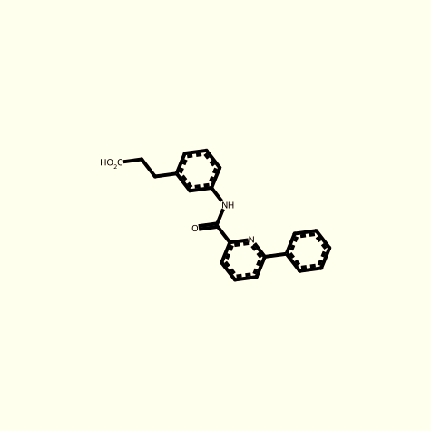 O=C(O)CCc1cccc(NC(=O)c2cccc(-c3ccccc3)n2)c1